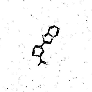 CC(=O)c1cccc(-c2cn3ccccc3n2)c1